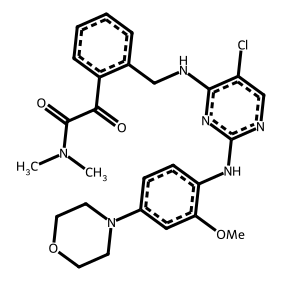 COc1cc(N2CCOCC2)ccc1Nc1ncc(Cl)c(NCc2ccccc2C(=O)C(=O)N(C)C)n1